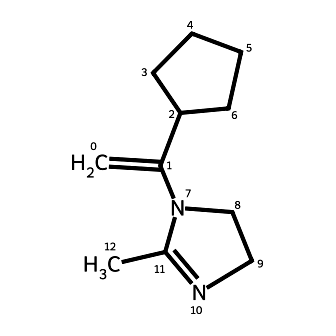 C=C(C1CCCC1)N1CCN=C1C